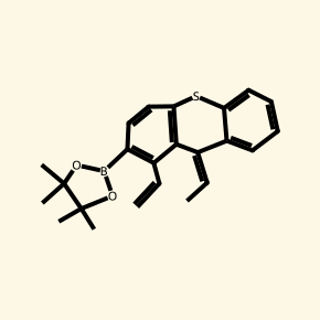 C=Cc1c(B2OC(C)(C)C(C)(C)O2)ccc2c1/C(=C\C)c1ccccc1S2